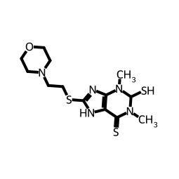 CN1C(=S)c2[nH]c(SCCN3CCOCC3)nc2N(C)C1S